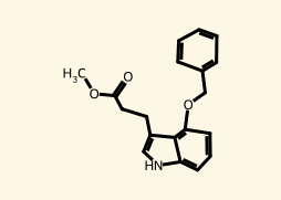 COC(=O)CCc1c[nH]c2cccc(OCc3ccccc3)c12